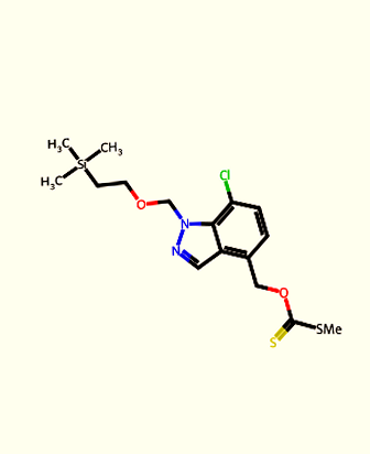 CSC(=S)OCc1ccc(Cl)c2c1cnn2COCC[Si](C)(C)C